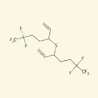 C=CC(CCC(F)(F)C(F)(F)F)SC(C=C)CCC(F)(F)C(F)(F)F